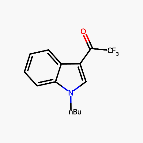 CCCCn1cc(C(=O)C(F)(F)F)c2ccccc21